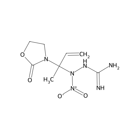 C=CC(C)(N1CCOC1=O)N(NC(=N)N)[N+](=O)[O-]